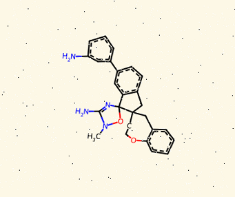 CN1OC2(N=C1N)c1cc(-c3cccc(N)c3)ccc1CC21CCOc2ccccc2C1